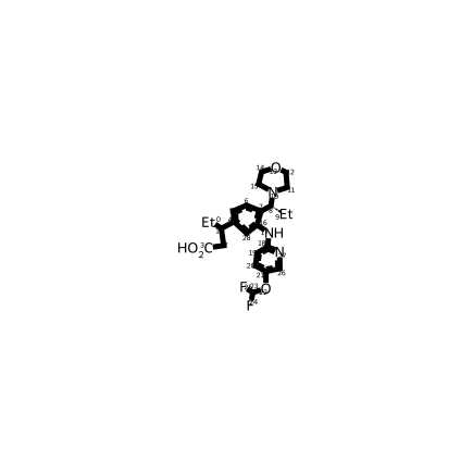 CCC(CC(=O)O)c1ccc([C@@H](CC)N2CCOCC2)c(Nc2ccc(OC(F)F)cn2)c1